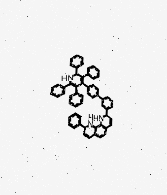 C1=CC(c2ccccc2)Nc2c1ccc1c2NC(c2cccc(-c3ccc(C4=C(c5ccccc5)C(c5ccccc5)NC(c5ccccc5)=C4c4ccccc4)cc3)c2)C=C1